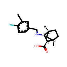 Cc1cc(CN[C@H]2[C@@H]3CC[C@@](C)(C3)[C@H]2C(=O)O)ccc1F